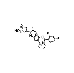 Cc1cn2nc([C@@H]3CCCCN3C(=O)c3ccc(F)cc3F)cc2nc1N1C[C@@H](C#N)[C@@H](C)C1